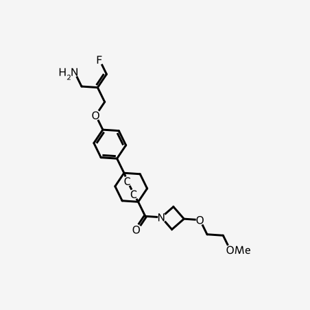 COCCOC1CN(C(=O)C23CCC(c4ccc(OCC(=CF)CN)cc4)(CC2)CC3)C1